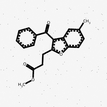 COC(=O)CCc1oc2ccc(C)cc2c1C(=O)c1ccccc1